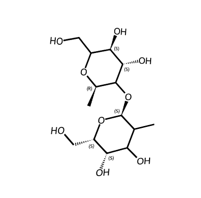 CC1C(O)[C@H](O)[C@H](CO)O[C@H]1OC1[C@@H](O)[C@H](O)C(CO)O[C@@H]1C